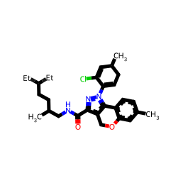 CCC(CC)CCC(C)CNC(=O)c1nn(C2=CCC(C)C=C2Cl)c2c1COc1cc(C)ccc1-2